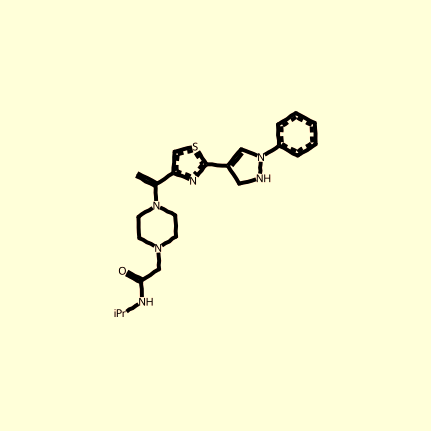 C=C(c1csc(C2=CN(c3ccccc3)NC2)n1)N1CCN(CC(=O)NC(C)C)CC1